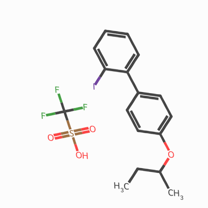 CCC(C)Oc1ccc(-c2ccccc2I)cc1.O=S(=O)(O)C(F)(F)F